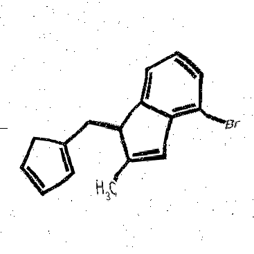 CC1=Cc2c(Br)cccc2C1CC1=CC=CC1